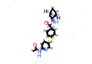 CC(=O)Nc1ccc(Sc2ccc(C(=O)N[C@@H]3C[C@H]4CC[C@@H]3N4)cc2)cn1